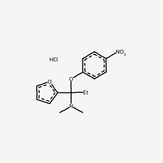 CCC(Oc1ccc([N+](=O)[O-])cc1)(c1ccco1)N(C)C.Cl